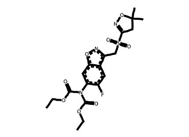 CCOC(=O)N(C(=O)OCC)c1cc2onc(CS(=O)(=O)C3=NOC(C)(C)C3)c2cc1F